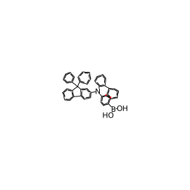 OB(O)c1ccc(N(c2ccc3c(c2)C(c2ccccc2)(c2ccccc2)c2ccccc2-3)c2ccccc2-c2ccccc2)cc1